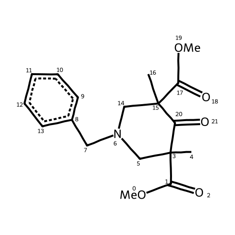 COC(=O)C1(C)CN(Cc2ccccc2)CC(C)(C(=O)OC)C1=O